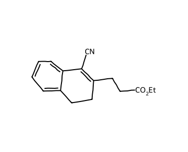 CCOC(=O)CCC1=C(C#N)c2ccccc2CC1